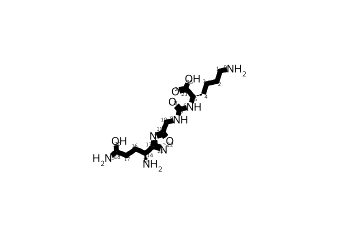 NCCCC[C@H](NC(=O)NCc1nc([C@@H](N)CCC(N)O)no1)C(=O)O